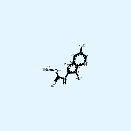 CCc1cnc2c(Br)c(NC(=O)OC(C)(C)C)sc2c1